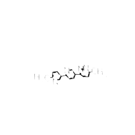 Cc1ccc(-c2ccc(-c3ccc(C)nn3)cn2)cn1